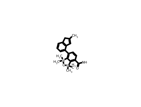 CC1=Cc2c(cccc2-c2ccc(C([NH])=O)c3c2[Si](C)(C)O[Si]3(C)C)C1